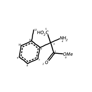 COC(=O)C(N)(C(=O)O)c1ccccc1C